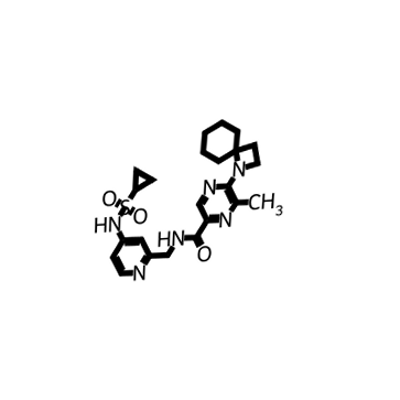 Cc1nc(C(=O)NCc2cc(NS(=O)(=O)C3CC3)ccn2)cnc1N1CCC12CCCCC2